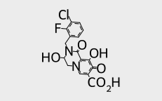 O=C(O)c1cn2c(c(O)c1=O)C(=O)N(Cc1cccc(Cl)c1F)C(O)C2